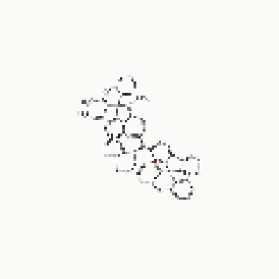 C=C(/C=C\C1=C(C)C2(C(/C=C\C)=C(C)Oc3ccccc32)c2ccccc21)N(c1ccc2c(c1)C1(c3ccccc3Oc3ccccc31)c1ccccc1-2)c1cccc2ccccc12